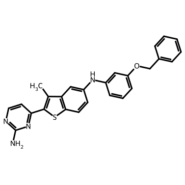 Cc1c(-c2ccnc(N)n2)sc2ccc(Nc3cccc(OCc4ccccc4)c3)cc12